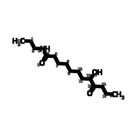 CCCNC(=O)CCCCCCC(O)C(=O)CCC